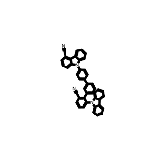 N#Cc1cccc(-n2c3ccccc3c3ccccc32)c1-c1cccc(-c2ccc(-n3c4ccccc4c4c(C#N)cccc43)cc2)c1